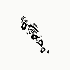 CN(c1ccccc1Nc1nc(Nc2ccc(N3CCC(N4CCNCC4)CC3)c(F)c2)ncc1Cl)S(C)(=O)=O